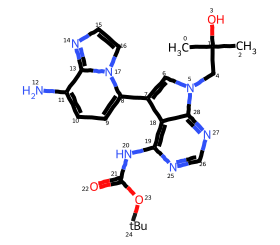 CC(C)(O)Cn1cc(-c2ccc(N)c3nccn23)c2c(NC(=O)OC(C)(C)C)ncnc21